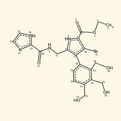 CCOC(=O)c1[nH]c(CNC(=O)c2ncc[nH]2)c(-c2ccc(CO)c(CO)c2CO)c1Br